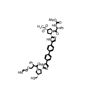 COC(=O)N[C@H](C(=O)N1C[C@@H](S(C)(=O)=O)C[C@H]1c1ncc(-c2ccc(-c3ccc(-c4cnc([C@@H]5C[C@H](CS)CN5C(=O)C(COOC=N)C(C)C)[nH]4)cc3)cc2)[nH]1)C(C)C